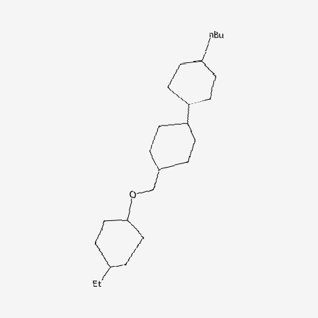 CCCCC1CCC(C2CCC(COC3CCC(CC)CC3)CC2)CC1